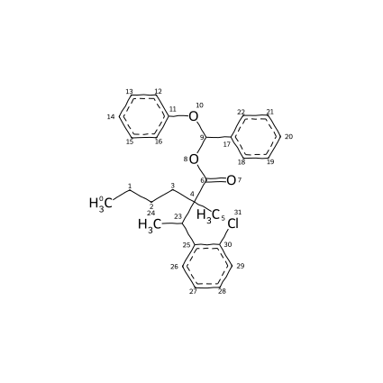 CCCCC(C)(C(=O)OC(Oc1ccccc1)c1ccccc1)C(C)c1ccccc1Cl